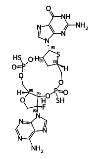 Nc1nc2c(ncn2[C@@H]2S[C@@H]3COP(=O)(S)O[C@@H]4[C@@H](COP(=O)(S)O[C@@H]2C3)OC[C@@]4(F)n2cnc3c(N)ncnc32)c(=O)[nH]1